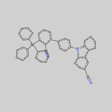 N#Cc1ccc2c(c1)c1ccccc1n2-c1ccc(-c2cccc([Si](c3ccccc3)(c3ccccc3)c3ccccc3)c2C#N)cc1